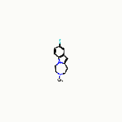 CN1CCc2cc3cc(F)ccc3n2CC1